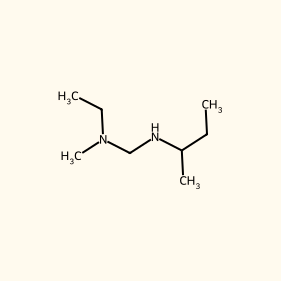 CCC(C)NCN(C)CC